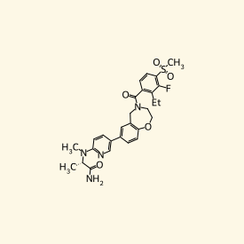 CCc1c(C(=O)N2CCOc3ccc(-c4ccc(N(C)[C@@H](C)C(N)=O)nc4)cc3C2)ccc(S(C)(=O)=O)c1F